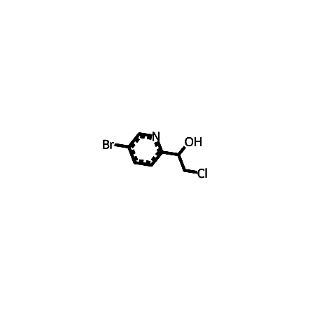 OC(CCl)c1ccc(Br)cn1